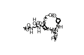 CC(C)(C)OC(=O)NCC[C@H](NC(=O)c1ccc2cc1OCCCCCCOc1ccc(cc1)CNc1nc(nc(OCC(F)(F)F)n1)N2)C(=O)O